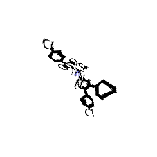 CS/C(=N\S(=O)(=O)c1ccc(Cl)cc1)N1CC(c2ccccc2)C(c2ccc(Cl)cc2)=N1